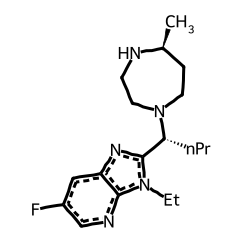 CCC[C@H](c1nc2cc(F)cnc2n1CC)N1CCN[C@@H](C)CC1